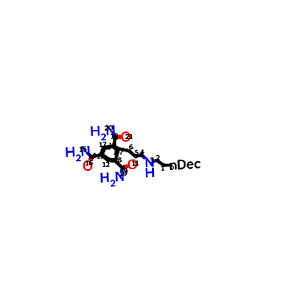 CCCCCCCCCCCCNCCCc1c(C(N)=O)cc(C(N)=O)cc1C(N)=O